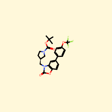 CC(C)(C)OC(=O)N1CC[C@H](Cn2c(=O)oc3ccc(-c4ccc(OC(F)(F)F)cc4)cc32)C1